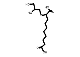 O=C(O)CCCCCCCC(OCC(O)CO)C(=O)O